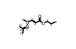 CCCOC(=O)C=CN(C)N=C(C)C